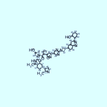 Cc1ncsc1-c1ccc([C@H](C)NC(=O)[C@@H]2C[C@@H](O)CN2C(=O)[C@@H](c2cc(-c3cnc(N4CC(c5ccc6nnc(-c7ccccc7O)cc6c5)C4)nc3)no2)C(C)C)cc1